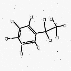 Clc1c(Cl)c(Cl)c(C(Cl)(Cl)C(Cl)(Cl)Cl)c(Cl)c1Cl